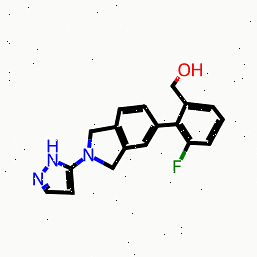 OCc1cccc(F)c1-c1ccc2c(c1)CN(c1ccn[nH]1)C2